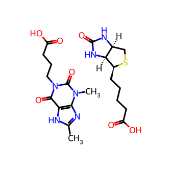 Cc1nc2c([nH]1)c(=O)n(CCCC(=O)O)c(=O)n2C.O=C(O)CCCC[C@@H]1SC[C@@H]2NC(=O)N[C@@H]21